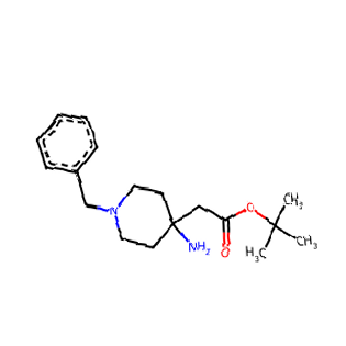 CC(C)(C)OC(=O)CC1(N)CCN(Cc2ccccc2)CC1